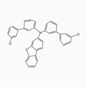 Clc1cccc(-c2cccc(N(c3cccc(-c4cccc(Cl)c4)c3)c3ccc4c(c3)oc3ccccc34)c2)c1